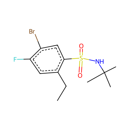 CCc1cc(F)c(Br)cc1S(=O)(=O)NC(C)(C)C